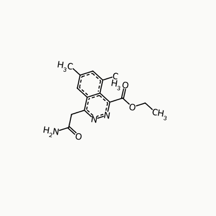 CCOC(=O)c1nnc(CC(N)=O)c2cc(C)cc(C)c12